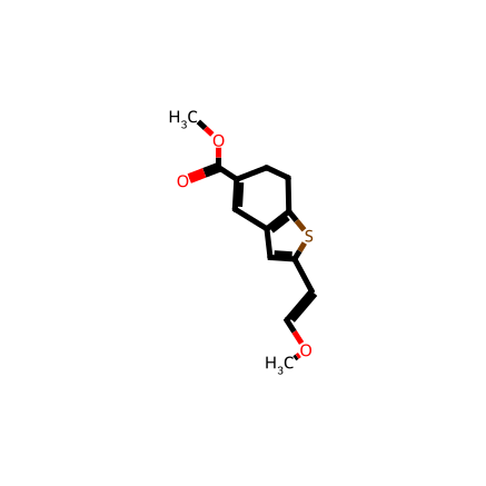 COC=Cc1cc2c(s1)CCC(C(=O)OC)=C2